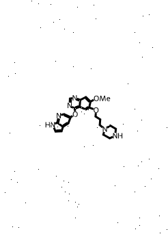 COc1cc2ncnc(Oc3cnc4[nH]ccc4c3)c2cc1OCCCN1CCNCC1